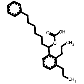 CCCc1cccc(C(CCCCCCc2ccccc2)OC(=O)O)c1CCC